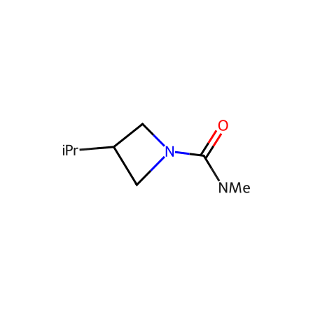 CNC(=O)N1CC(C(C)C)C1